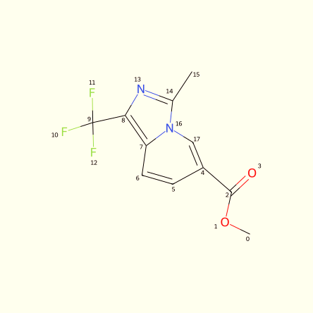 COC(=O)c1ccc2c(C(F)(F)F)nc(C)n2c1